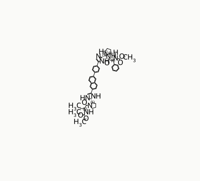 COC(=O)N[C@H](C(=O)N1CCC[C@H]1C1NC=C(c2ccc3cc(-c4ccc(-c5cnc([C@@H]6[C@H]7CC[C@H](C7)N6C(=O)[C@H](NC(=O)OC)c6ccccc6)[nH]5)cc4)ccc3c2)N1)C(C)C